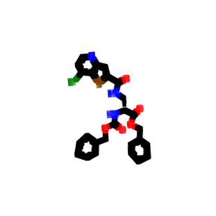 O=C(N[C@H](CNC(=O)c1cc2nccc(Br)c2s1)C(=O)OCc1ccccc1)OCc1ccccc1